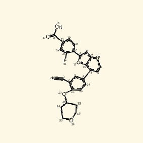 N#Cc1cc(-c2ccnc3cc(-c4ccc(C(=O)O)cc4F)oc23)ccc1OC1CCOCC1